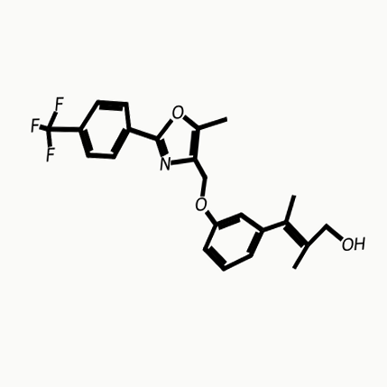 C/C(CO)=C(/C)c1cccc(OCc2nc(-c3ccc(C(F)(F)F)cc3)oc2C)c1